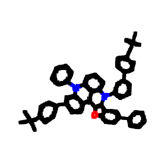 CC(C)(C)c1ccc(-c2cccc(N3c4cccc5c4B(c4ccc(-c6ccc(C(C)(C)C)cc6)cc4N5c4ccccc4)c4oc5ccc(-c6ccccc6)cc5c43)c2)cc1